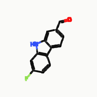 O=Cc1ccc2c(c1)[nH]c1cc(F)ccc12